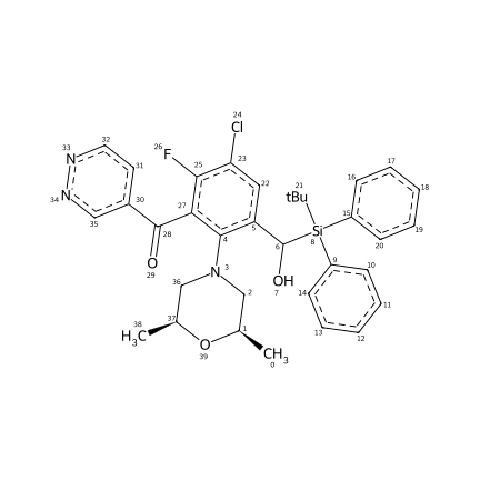 C[C@@H]1CN(c2c(C(O)[Si](c3ccccc3)(c3ccccc3)C(C)(C)C)cc(Cl)c(F)c2C(=O)c2ccnnc2)C[C@H](C)O1